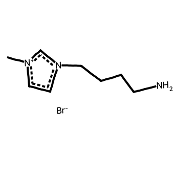 C[n+]1ccn(CCCCN)c1.[Br-]